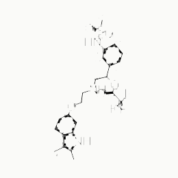 Cc1[nH]c2cc(OCCNCC(OC(=O)C(F)(F)F)c3cccc(NS(C)(=O)=O)c3)ccc2c1C